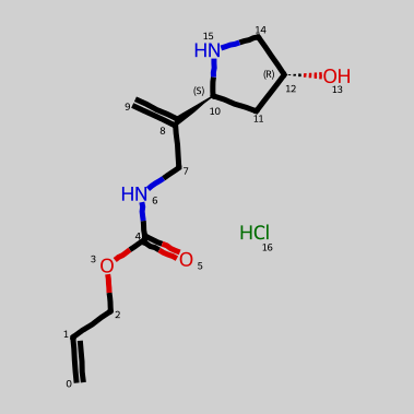 C=CCOC(=O)NCC(=C)[C@@H]1C[C@@H](O)CN1.Cl